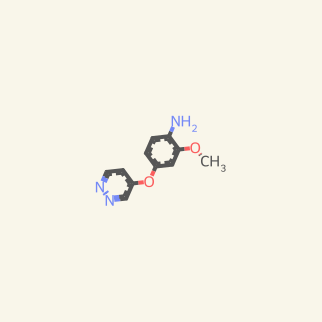 COc1cc(Oc2ccnnc2)ccc1N